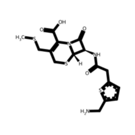 CSCC1=C(C(=O)O)N2C(=O)[C@@H](NC(=O)Cc3ccc(CN)s3)[C@@H]2SC1